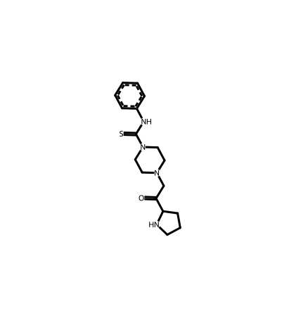 O=C(CN1CCN(C(=S)Nc2ccccc2)CC1)C1CCCN1